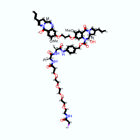 C/C=C/C1=CN2C(=O)c3cc(OC)c(OCCCOc4cc5c(cc4OC)C(=O)N4C=C(/C=C/C)C[C@H]4[C@H](O)N5C(=O)OCc4ccc(NC(=O)[C@H](C)NC(=O)[C@@H](NC(=O)CCOCCOCCOCCOCCNC(=O)CI)C(C)C)cc4)cc3N=C[C@@H]2C1